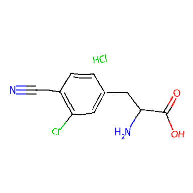 Cl.N#Cc1ccc(CC(N)C(=O)O)cc1Cl